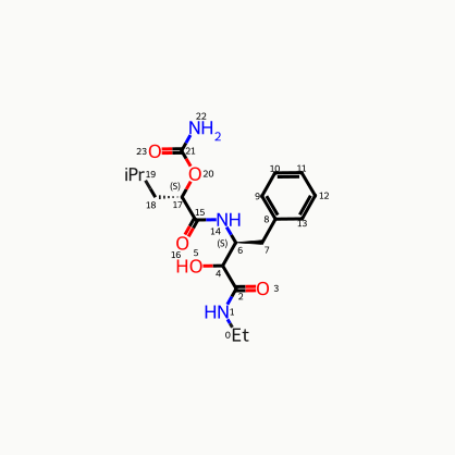 CCNC(=O)C(O)[C@H](Cc1ccccc1)NC(=O)[C@H](CC(C)C)OC(N)=O